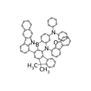 CC1(C)c2ccccc2-c2c1cc1c3c2N(c2cccc4c2oc2ccccc24)c2cc(N(c4ccccc4)c4ccccc4)ccc2B3n2c3cc4ccccc4cc3c3cccc-1c32